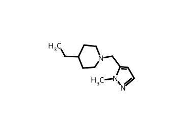 CCC1CCN(Cc2ccnn2C)CC1